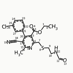 CCOC(=O)c1c(CSCCNC=O)nc(C)c(C#N)c1-c1cccc(Cl)c1